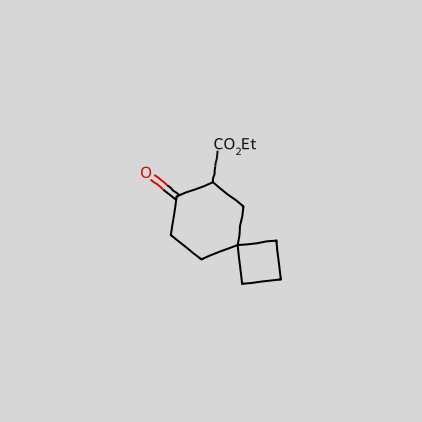 CCOC(=O)C1CC2(CCC2)CCC1=O